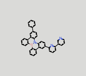 c1ccc(-c2ccc3c(c2)-c2ccccc2B2c4ccccc4-c4cc(-c5cccc(-c6cccnc6)n5)ccc4N23)cc1